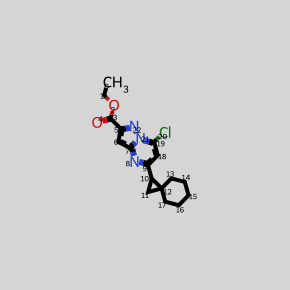 CCOC(=O)c1cc2nc(C3CC34CCCCC4)cc(Cl)n2n1